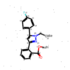 CCCOC(=O)c1ccccc1-c1cc(-c2ccc(F)cc2)n(COC)n1